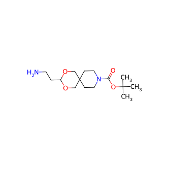 CC(C)(C)OC(=O)N1CCC2(CC1)COC(CCN)OC2